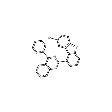 Brc1ccc2oc3cccc(-c4nc(-c5ccccc5)c5ccccc5n4)c3c2c1